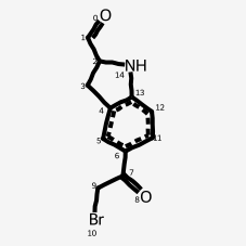 O=CC1Cc2cc(C(=O)CBr)ccc2N1